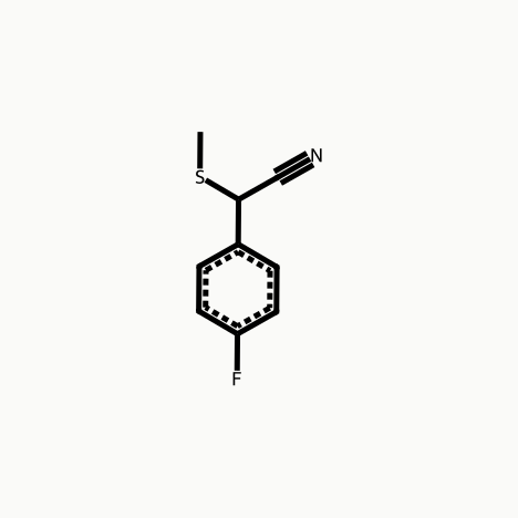 CSC(C#N)c1ccc(F)cc1